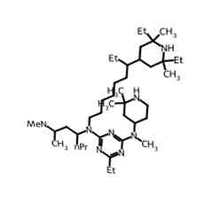 CCCC(CC(C)NC)N(CCCCCCC(CC)C1CC(C)(CC)NC(C)(CC)C1)c1nc(CC)nc(N(C)C2CCNC(C)(C)C2)n1